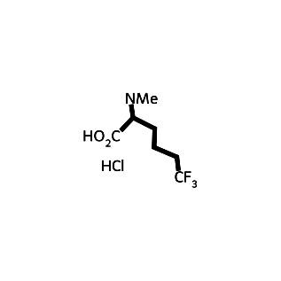 CNC(CCCC(F)(F)F)C(=O)O.Cl